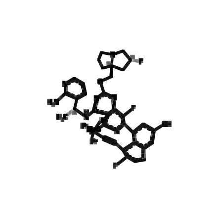 COc1nc(-c2cc(O)cc3ccc(F)c(C#C[Si](C(C)C)(C(C)C)C(C)C)c23)c(F)c2nc(OC[C@@]34CCCN3C[C@H](F)C4)nc(N[C@H](C)c3cccnc3N)c12